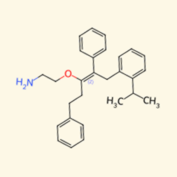 CC(C)c1ccccc1C/C(=C(\CCc1ccccc1)OCCN)c1ccccc1